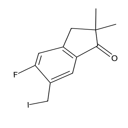 CC1(C)Cc2cc(F)c(CI)cc2C1=O